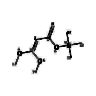 C=C(C=C(OC)OC)O[Si](C)(C)C